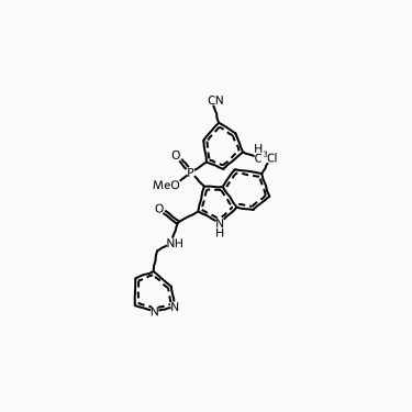 COP(=O)(c1cc(C)cc(C#N)c1)c1c(C(=O)NCc2ccnnc2)[nH]c2ccc(Cl)cc12